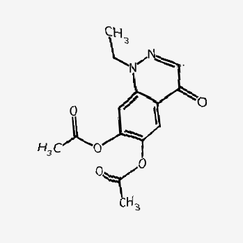 CCn1n[c]c(=O)c2cc(OC(C)=O)c(OC(C)=O)cc21